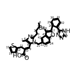 CCCCc1nc(C)c(/C=C(\Cc2cccs2)C(=O)O)n1Cc1ccc2oc(-c3ccccc3-c3nnn[nH]3)c(Br)c2c1